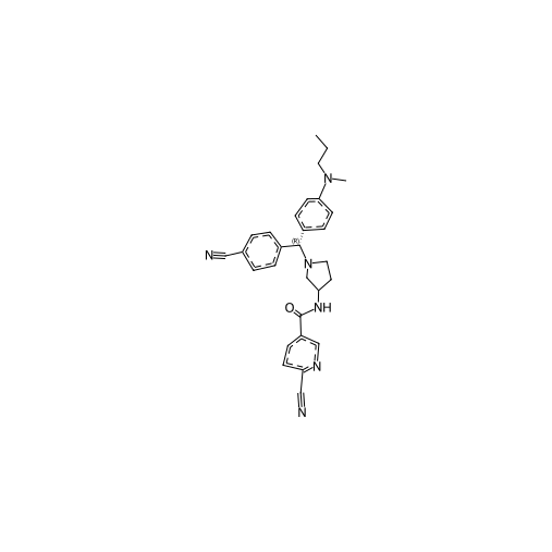 CCCN(C)c1ccc([C@@H](c2ccc(C#N)cc2)N2CCC(NC(=O)c3ccc(C#N)nc3)C2)cc1